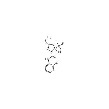 CCC1=NN(C(=S)Nc2ccccc2Cl)C(O)(C(F)(F)F)C1